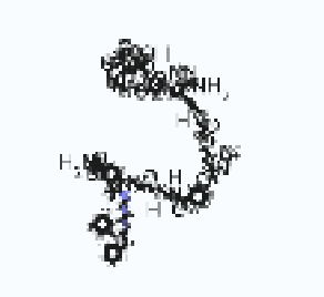 CC1(C)\C(=C/C=C/C=C/C2=[N+](c3ccccc3)c3ccccc3C2)N(CCC(=O)NCCNC(=O)c2cccc(OCC(N=[N+]=[N-])OCCOCC(=O)NCC#Cc3cn(C4CC(OCN=[N+]=[N-])C(COP(=O)(O)OP(=O)(O)OP(=O)(O)O)O4)c4ncnc(N)c34)c2)c2ccc(S(N)(=O)=O)cc21